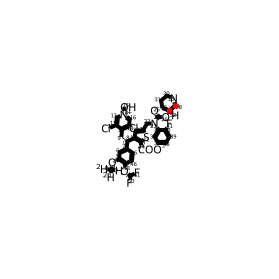 [2H]C([2H])([2H])Oc1cc([C@H](Cc2c(Cl)c[n+](O)cc2Cl)c2cc(CN(C(=O)O[C@H]3CN4CCC3CC4)c3ccccc3F)sc2C(=O)[O-])ccc1OC(F)F